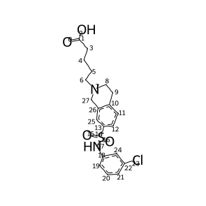 O=C(O)CCCCN1CCc2ccc(S(=O)(=O)Nc3cccc(Cl)c3)cc2C1